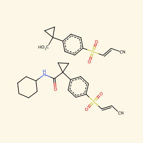 N#C/C=C/S(=O)(=O)c1ccc(C2(C(=O)NC3CCCCC3)CC2)cc1.N#C/C=C/S(=O)(=O)c1ccc(C2(C(=O)O)CC2)cc1